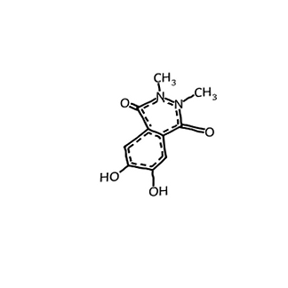 Cn1c(=O)c2cc(O)c(O)cc2c(=O)n1C